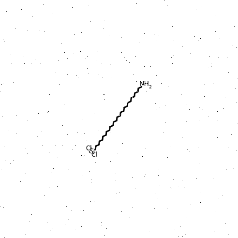 C[Si](Cl)(Cl)CCCCCCCCCCCCCCCCCCCCCCCCCCCN